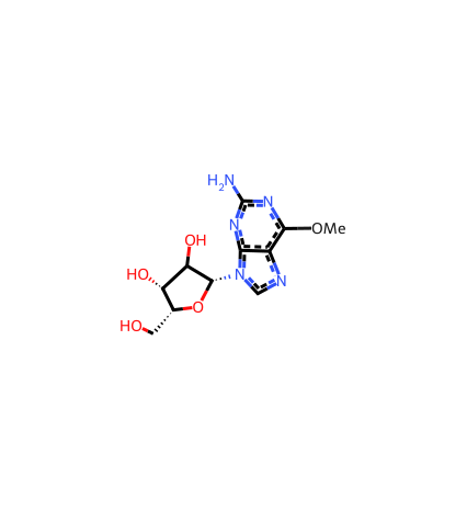 COc1nc(N)nc2c1ncn2[C@@H]1O[C@H](CO)[C@H](O)C1O